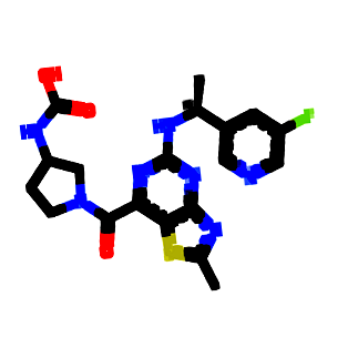 Cc1nc2nc(N[C@@H](C)c3cncc(F)c3)nc(C(=O)N3CCC(NC(=O)O)C3)c2s1